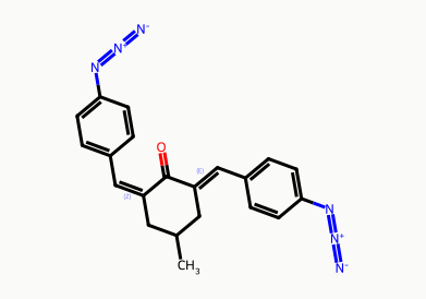 CC1C/C(=C/c2ccc(N=[N+]=[N-])cc2)C(=O)/C(=C/c2ccc(N=[N+]=[N-])cc2)C1